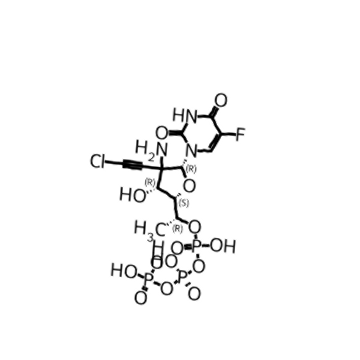 C[C@@H](OP(=O)(O)OP(=O)(O)OP(=O)(O)O)[C@H]1O[C@@H](n2cc(F)c(=O)[nH]c2=O)C(N)(C#CCl)[C@H]1O